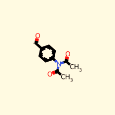 CC(=O)N(C(C)=O)c1ccc([C]=O)cc1